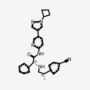 C[C@H](CN[C@@H](C(=O)Nc1ccc(-c2cnn(C3CCC3)c2)cn1)c1ccccc1)c1ccc(C#N)cc1